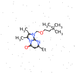 CCc1cc(=O)n2c(C)c(C)n(COCC[Si](C)(C)C)c2n1